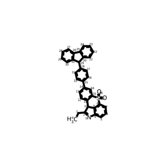 CCC1=Nc2cccc3c2C1c1ccc(-c2ccc(C4c5ccccc5-c5ccccc54)cc2)cc1S3(=O)=O